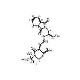 CCC(C)(C)N1CCC(=N)/C(=C\NC/C(=C/F)CN2C(=O)c3ccccc3C2=O)C1=O